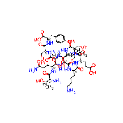 CC(C)C[C@H](NC(=O)[C@H](CO)NC(=O)[C@H](CCC(=O)O)NC(=O)[C@H](CCCCN)NC(=O)[C@@H](NC(=O)[C@H](CCC(N)=O)NC(=O)[C@@H](N)[C@@H](C)O)C(C)C)C(=O)N[C@@H](CO)C(=O)N[C@@H](CO)C(=O)N[C@@H](Cc1ccc(O)cc1)C(=O)O